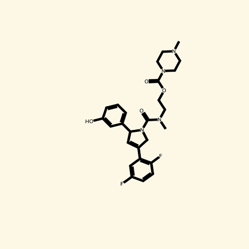 CN1CCN(C(=O)OCCN(C)C(=O)N2CC(c3cc(F)ccc3F)=CC2c2cccc(O)c2)CC1